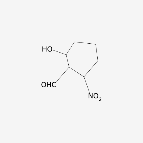 O=CC1C(O)CCCC1[N+](=O)[O-]